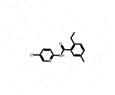 CCc1ccc(C)cc1C(=O)Nc1ccc(Cl)cn1